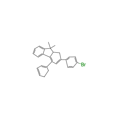 CC1(C)c2ccccc2C2=C(C3=CC=CCC3)C=C(c3ccc(Br)cc3)CC21